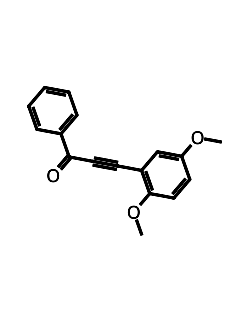 COc1ccc(OC)c(C#CC(=O)c2ccccc2)c1